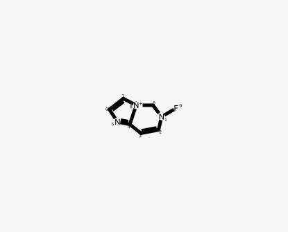 FN1C=CC2=N[C]=C[N+]2C1